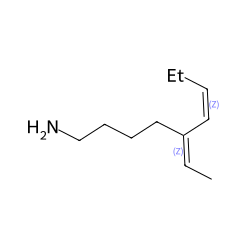 C/C=C(\C=C/CC)CCCCN